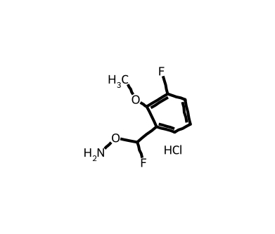 COc1c(F)cccc1C(F)ON.Cl